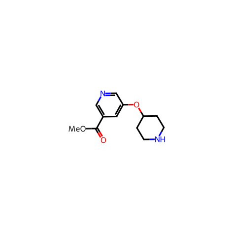 COC(=O)c1cncc(OC2CCNCC2)c1